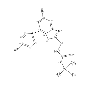 CC(C)(C)OC(=O)NCc1nc2cc(Br)cc(-c3ccc(F)cc3)c2s1